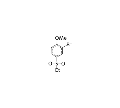 CCS(=O)(=O)c1ccc(OC)c(Br)c1